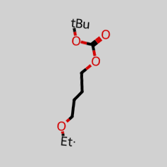 C[CH]OCCCCOC(=O)OC(C)(C)C